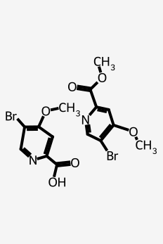 COC(=O)c1cc(OC)c(Br)cn1.COc1cc(C(=O)O)ncc1Br